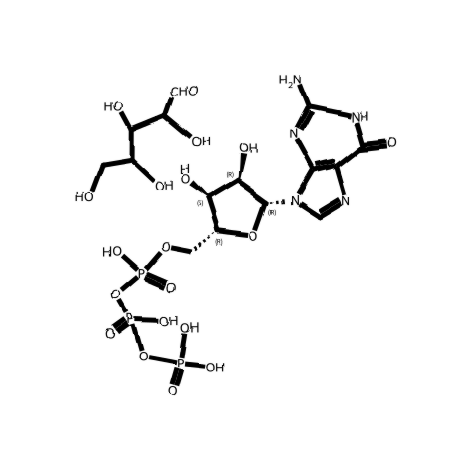 Nc1nc2c(ncn2[C@@H]2O[C@H](COP(=O)(O)OP(=O)(O)OP(=O)(O)O)[C@@H](O)[C@H]2O)c(=O)[nH]1.O=CC(O)C(O)C(O)CO